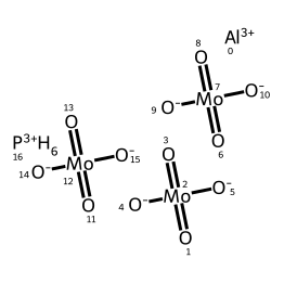 [Al+3].[O]=[Mo](=[O])([O-])[O-].[O]=[Mo](=[O])([O-])[O-].[O]=[Mo](=[O])([O-])[O-].[PH6+3]